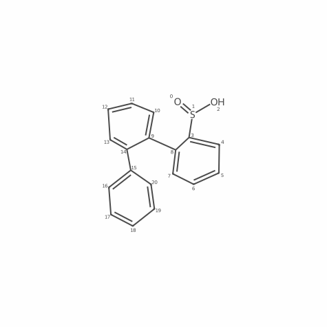 O=S(O)c1ccccc1-c1ccccc1-c1ccccc1